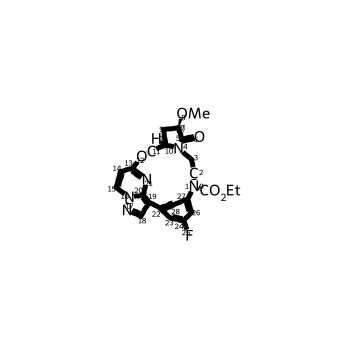 CCOC(=O)N1CCN2C(=O)[C@H](OC)C[C@H]2COc2ccn3ncc(c3n2)-c2cc(F)cc1c2